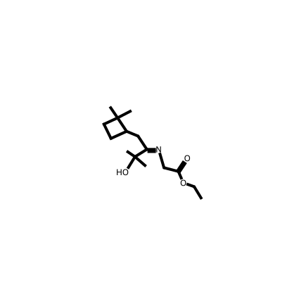 CCOC(=O)C/N=C(/CC1CCC1(C)C)C(C)(C)O